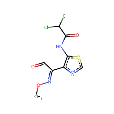 CON=C([C]=O)c1ncsc1NC(=O)C(Cl)Cl